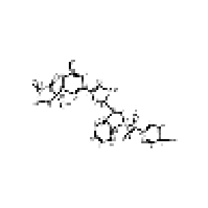 Cc1ccc(S(=O)(=O)n2cc(-c3nc(-c4cc(C)cc([C@]5(O)CCN(C)C5=O)c4)cs3)c3nccnc32)cc1